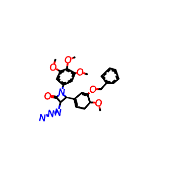 COc1cc(N2C(=O)C(N=[N+]=[N-])[C@@H]2C2=CCC(OC)C(OCc3ccccc3)=C2)cc(OC)c1OC